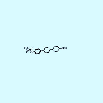 CCCC[C@H]1CC[C@H]([C@H]2CC[C@H](c3ccc(OC(F)(F)C(F)(F)F)cc3)CC2)CC1